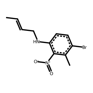 C/C=C/CNc1ccc(Br)c(C)c1[N+](=O)[O-]